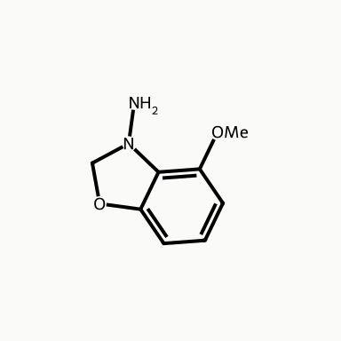 COc1cccc2c1N(N)CO2